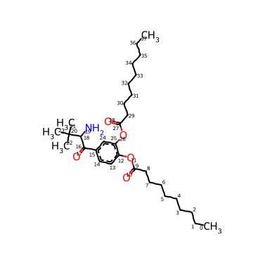 CCCCCCCCCC(=O)Oc1ccc(C(=O)C(N)C(C)(C)C)cc1OC(=O)CCCCCCCCC